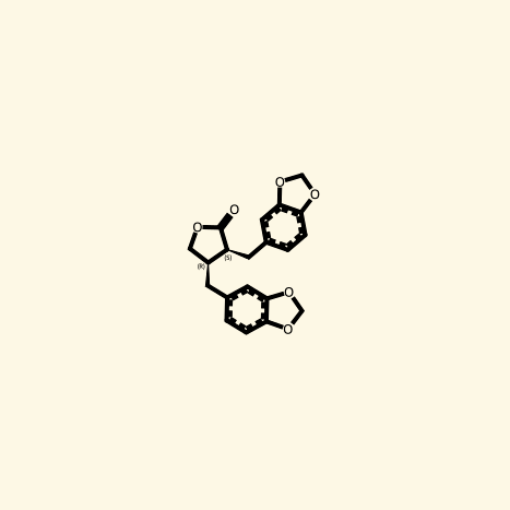 O=C1OC[C@H](Cc2ccc3c(c2)OCO3)[C@@H]1Cc1ccc2c(c1)OCO2